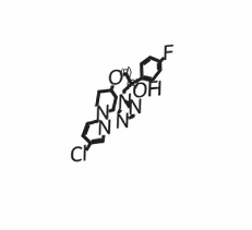 C[C@@H](OC1CCN(c2ccc(Cl)cn2)CC1)[C@](O)(Cn1cncn1)c1ccc(F)cc1F